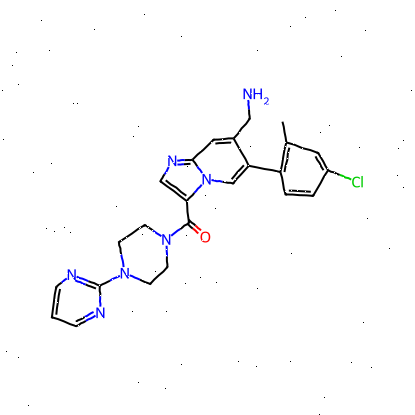 Cc1cc(Cl)ccc1-c1cn2c(C(=O)N3CCN(c4ncccn4)CC3)cnc2cc1CN